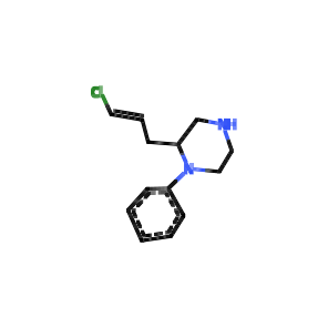 ClC=CCC1CNCCN1c1ccccc1